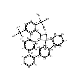 FC(F)(F)c1ccc(C(F)(F)F)c2c1-c1cccc[n+]1C1C2CC12c1ccccc1-c1ccc(-c3ccccc3)c[n+]12